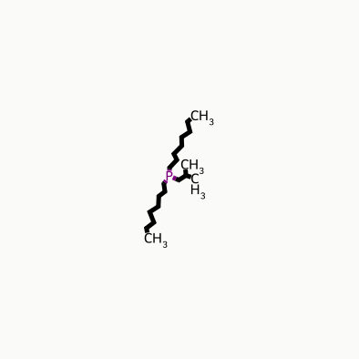 CCCCCCCCP(CCCCCCCC)CC(C)C